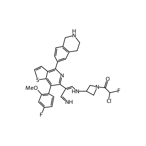 COc1cc(F)ccc1-c1c(/C(C=N)=C/NC2CN(C(=O)C(F)Cl)C2)nc(-c2ccc3c(c2)CCNC3)c2ccsc12